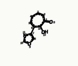 O=c1ccccc(-c2cocn2)c1O